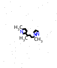 Cc1ccc(C(C)CCC(C)n2cccn2)cn1